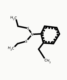 CCSN(SCC)c1ccccc1CC